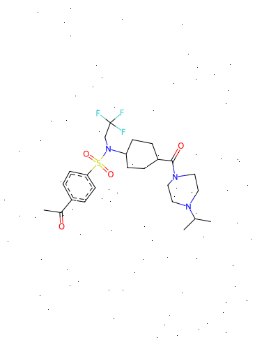 CC(=O)c1ccc(S(=O)(=O)N(CC(F)(F)F)C2CCC(C(=O)N3CCN(C(C)C)CC3)CC2)cc1